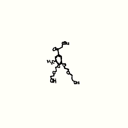 Cc1cc(C(=O)CC(C)(C)C)cc(OCCOCCO)c1OCCOCCO